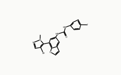 Cn1ncc(Br)c1-c1cc(NC(=O)Nc2ccc(F)cc2)cc2ccoc12